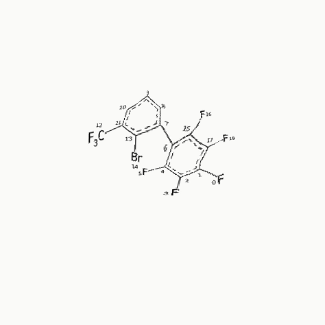 Fc1c(F)c(F)c(-c2cccc(C(F)(F)F)c2Br)c(F)c1F